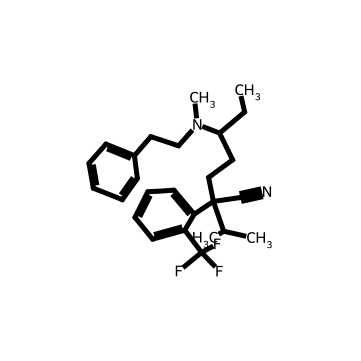 CCC(CCC(C#N)(c1ccccc1C(F)(F)F)C(C)C)N(C)CCc1ccccc1